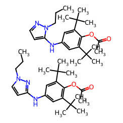 CCCn1ccc(Nc2cc(C(C)(C)C)c(OC(C)=O)c(C(C)(C)C)c2)n1.CCCn1nccc1Nc1cc(C(C)(C)C)c(OC(C)=O)c(C(C)(C)C)c1